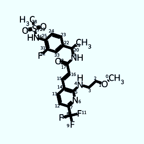 COCCNc1nc(C(F)(F)F)ccc1C=CC(=O)NC(C)c1ccc(NS(C)(=O)=O)c(F)c1